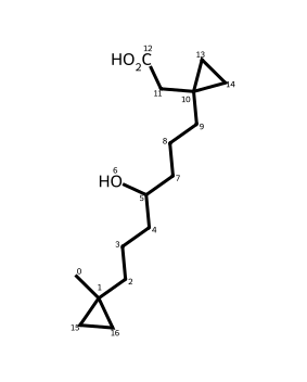 CC1(CCCC(O)CCCC2(CC(=O)O)CC2)CC1